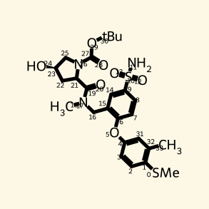 CSc1ccc(Oc2ccc(S(N)(=O)=O)cc2CN(C)C(=O)C2C[C@@H](O)CN2C(=O)OC(C)(C)C)cc1C